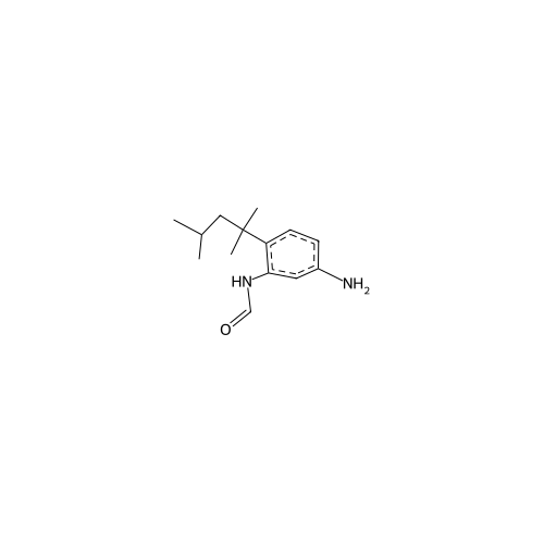 CC(C)CC(C)(C)c1ccc(N)cc1NC=O